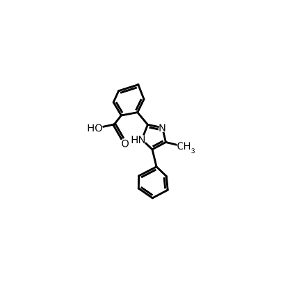 Cc1nc(-c2ccccc2C(=O)O)[nH]c1-c1ccccc1